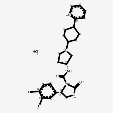 Cl.O=C(N[C@@H]1CCN(C2CCC(c3ccccn3)CC2)C1)N1C(=O)OC[C@@H]1c1ccc(F)c(F)c1